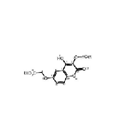 CCCCCCCCOc1c(O)c2cc(OCC(=O)OCC)ccc2oc1=O